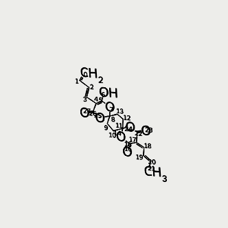 C=CC=CC1=C(O)OC2(CCC3(CC2)OC(=O)C(=CC=CC)C(=O)O3)OC1=O